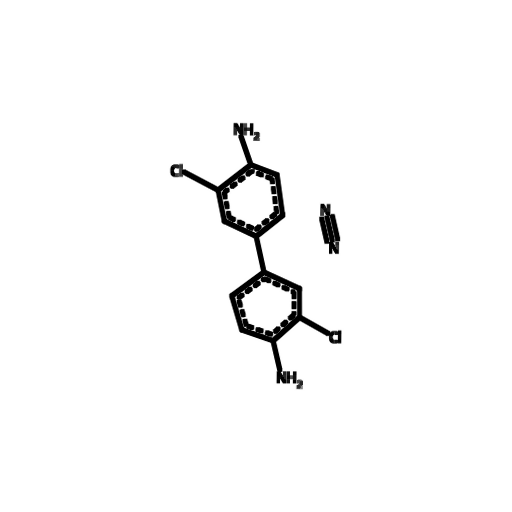 N#N.Nc1ccc(-c2ccc(N)c(Cl)c2)cc1Cl